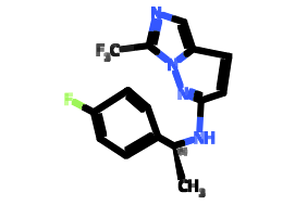 C[C@H](Nc1ccc2cnc(C(F)(F)F)n2n1)c1ccc(F)cc1